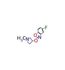 CN1CCC(Oc2nc3cc(F)ccc3o2)C1